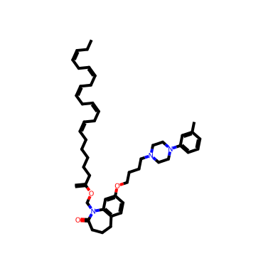 C=C(CCCCC/C=C\C/C=C\C/C=C\C/C=C\C/C=C\CC)OCN1C(=O)CCCc2ccc(OCCCCN3CCN(c4cccc(C)c4)CC3)cc21